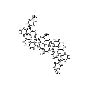 CC(C)c1cc(N(c2ccc3c(c2)c2ccccc2n3-c2ccc(C(C)(C)C)cc2)c2cccc3c2CCCC3)c2ccc3c(C(C)C)cc(N(c4ccc5c(c4)c4ccccc4n5-c4ccc(C(C)(C)C)cc4)c4cccc5c4CCCC5)c4ccc1c2c34